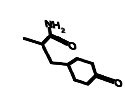 CC(CC1CCC(=O)CC1)C(N)=O